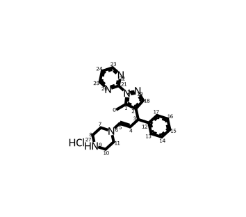 Cc1c(C(/C=C/N2CCNCC2)c2ccccc2)cnn1-c1ncccn1.Cl